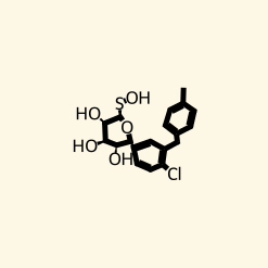 Cc1ccc(Cc2cc([C@@H]3O[C@H](SO)[C@@H](O)[C@H](O)[C@H]3O)ccc2Cl)cc1